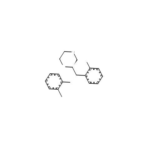 Cc1ccccc1S[C@@H](c1ccccc1F)[C@@H]1CNCCO1